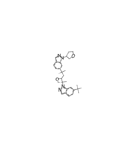 CC(C)(C)c1ccc2cnn(C3(C)COC3CC(C)(C)c3ccc4cnn(C5CCOC5)c4c3)c2c1